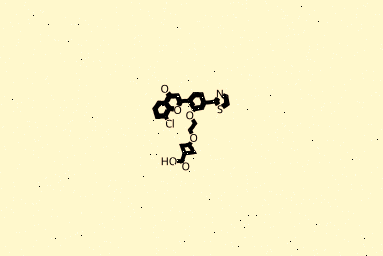 O=C(O)C1CC(OCCOc2cc(-c3nccs3)ccc2-c2cc(=O)c3cccc(Cl)c3o2)C1